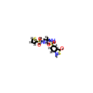 Cn1sc(=O)c2cc(S(=O)(=O)NC(C)(C)CNS(=O)(=O)c3cccs3)ccc21